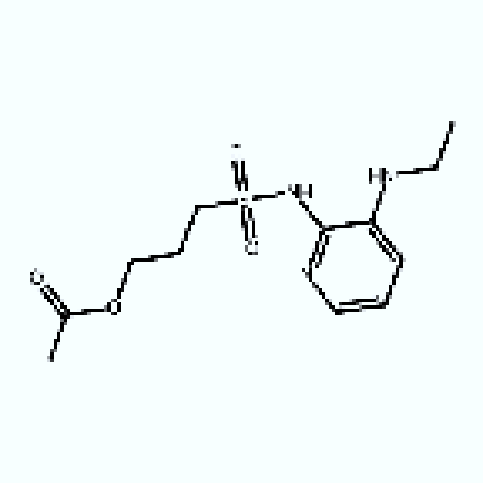 CCNc1cccnc1NS(=O)(=O)CCCOC(C)=O